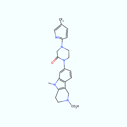 Cn1c2c(c3ccc(N4CCN(c5ccc(C(F)(F)F)cn5)CC4=O)cc31)CN(C(=O)O)CC2